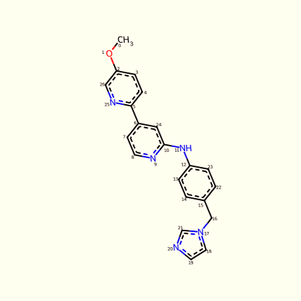 COc1ccc(-c2ccnc(Nc3ccc(Cn4ccnc4)cc3)c2)nc1